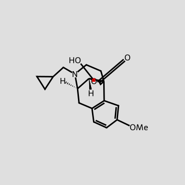 COc1ccc2c(c1)C13CCN(CC4CC4)[C@H](C2)[C@@H]1C(O)OC(=O)C3